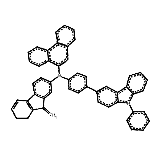 C=C1C2=C(C=CCC2)c2ccc(N(c3ccc(-c4ccc5c(c4)c4ccccc4n5-c4ccccc4)cc3)c3cc4ccccc4c4ccccc34)cc21